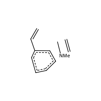 C=C.C=Cc1ccccc1.CNC